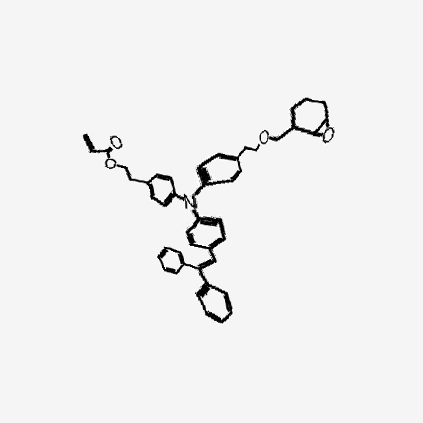 C=CC(=O)OCCc1ccc(N(c2ccc(C=C(c3ccccc3)c3ccccc3)cc2)c2ccc(CCOCC3CCCC4OC34)cc2)cc1